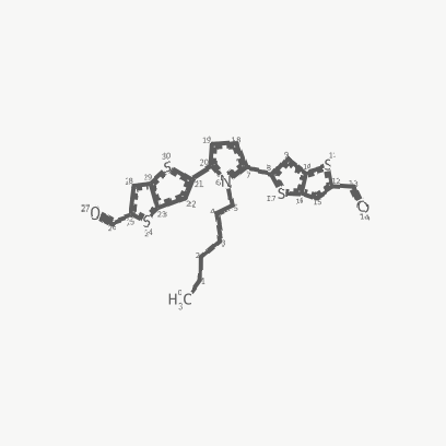 CCCCCCn1c(-c2cc3sc(C=O)cc3s2)ccc1-c1cc2sc(C=O)cc2s1